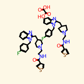 O=C(NCCN1CCC(Cc2nc3ccccc3n2Cc2ccc(F)cc2)CC1)c1ccsc1.O=C(NCCN1CCC(Cc2nc3ccccc3n2Cc2ccc(F)cc2)CC1)c1ccsc1.O=C(O)C(=O)O